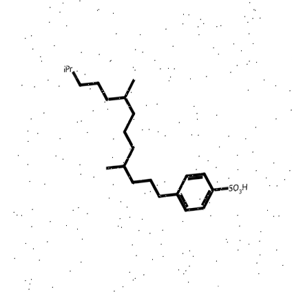 CC(C)CCCC(C)CCCC(C)CCCc1ccc(S(=O)(=O)O)cc1